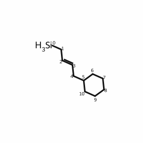 [SiH3]CC=CCC1CCCCC1